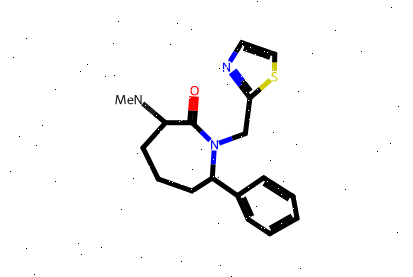 CNC1CCCC(c2ccccc2)N(Cc2nccs2)C1=O